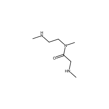 CNCCN(C)C(=O)CNC